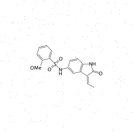 C/C=C1\C(=O)Nc2ccc(NS(=O)(=O)c3ccccc3OC)cc21